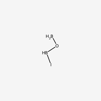 BOBI